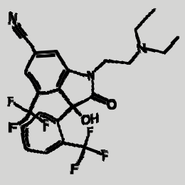 CCN(CC)CCN1C(=O)C(O)(c2ccccc2C(F)(F)F)c2c1cc(C#N)cc2C(F)(F)F